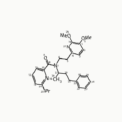 COc1ccc(CCN(C(=O)c2cccc(C(C)C)n2)C(C)CCc2ccccc2)nc1OC